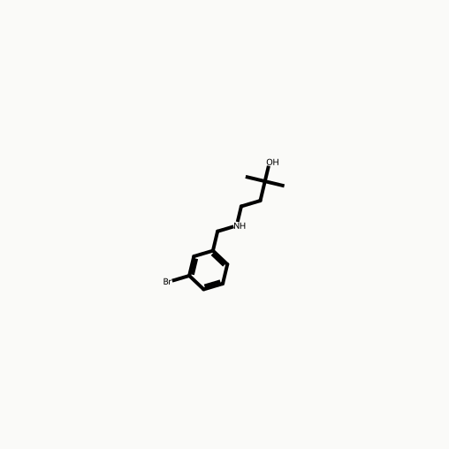 CC(C)(O)CCNCc1cccc(Br)c1